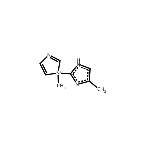 Cc1c[nH]c([N+]2(C)[C]=CN=C2)n1